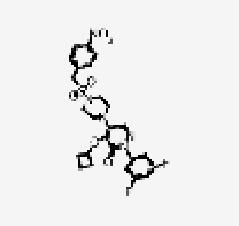 O=c1c(OC2CCC2)c(N2CCN(S(=O)(=O)Cc3ccc([N+](=O)[O-])cc3)CC2)cnn1-c1cc(F)cc(F)c1